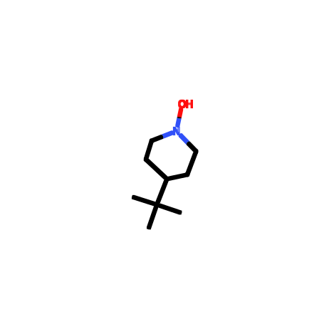 CC(C)(C)C1CCN(O)CC1